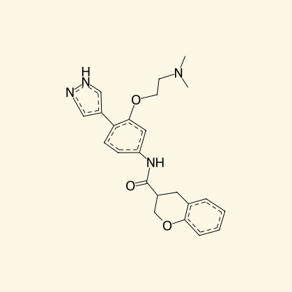 CN(C)CCOc1cc(NC(=O)C2COc3ccccc3C2)ccc1-c1cn[nH]c1